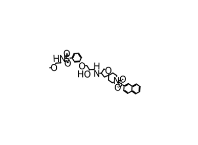 COCCNS(=O)(=O)c1cccc(OCC(O)CNC2COC3(CCN(S(=O)(=O)c4ccc5ccccc5c4)CC3)C2)c1